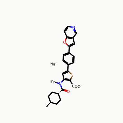 CC(C)N(c1cc(-c2ccc(-c3cc4cnccc4o3)cc2)sc1C(=O)[O-])C(=O)[C@H]1CC[C@H](C)CC1.[Na+]